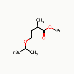 CCCCC(C)OCC[C@@H](C)C(=O)OC(C)C